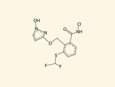 O=C(NCl)c1cccc(SC(F)F)c1COc1ccn(O)n1